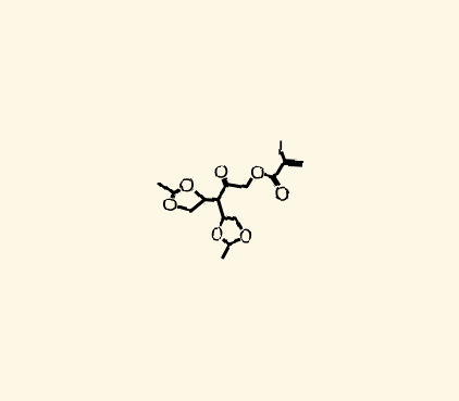 C=C(I)C(=O)OCC(=O)C(C1COC(C)O1)C1COC(C)O1